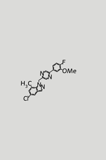 COc1cc(-c2cnc(Cn3ncc4cc(Cl)cc(C)c43)cn2)ccc1F